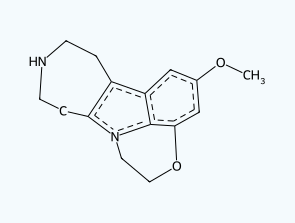 COc1cc2c3c(c1)c1c(n3CCO2)CCNCC1